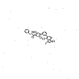 CCc1c[nH]c2ncc(-c3cccc(N4CCN(C(=O)[C@@H](N)Cc5ccccc5)CC4=O)c3)c(Cl)c12